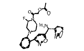 CC(=O)OCC(=O)N1CCN(c2ccccc2-c2cc(C(N)c3ccon3)on2)CC1F